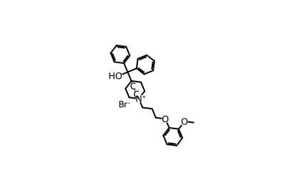 COc1ccccc1OCCC[N+]12CCC(C(O)(c3ccccc3)c3ccccc3)(CC1)CC2.[Br-]